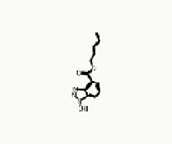 CCCCCOC(=O)c1cccc2c1nnn2O